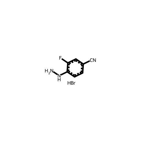 Br.N#Cc1ccc(NN)c(F)c1